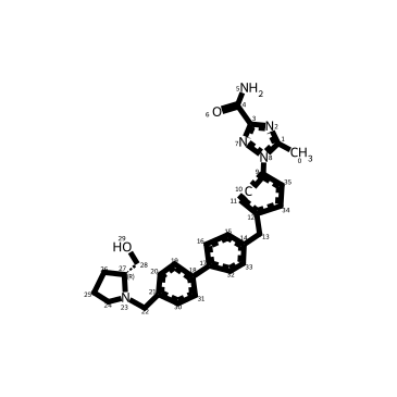 Cc1nc(C(N)=O)nn1-c1ccc(Cc2ccc(-c3ccc(CN4CCC[C@@H]4CO)cc3)cc2)cc1